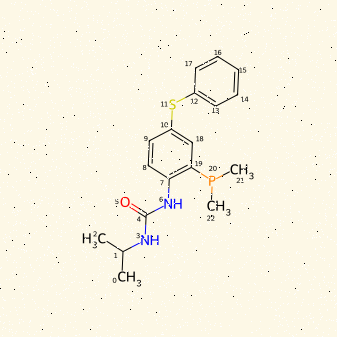 CC(C)NC(=O)Nc1ccc(Sc2ccccc2)cc1P(C)C